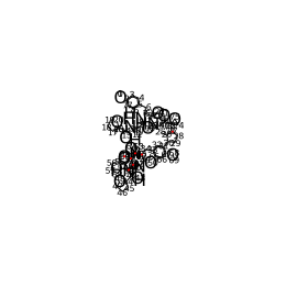 COc1ccc(C[C@H](NC(=O)[C@@H](C)NC(=O)[C@H]2CCCO2)C(=O)N[C@@H](CC2CCCC2c2cc(C[C@H](NC(=O)[C@@H](C)NC(=O)C3CCCO3)C(=O)N[C@@H](CC3CCCC3)C(=O)[C@@]3(C)CO3)ccc2OC)C(=O)[C@@]2(C)CO2)cc1